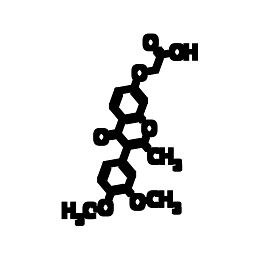 COc1ccc(-c2c(C)oc3cc(OCC(=O)O)ccc3c2=O)cc1OC